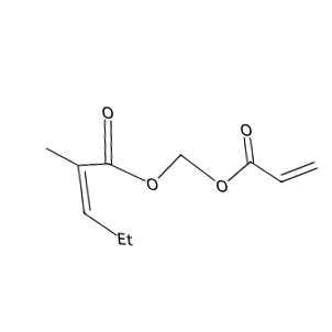 C=CC(=O)OCOC(=O)C(C)=CCC